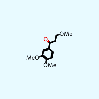 COCCC(=O)c1ccc(OC)c(OC)c1